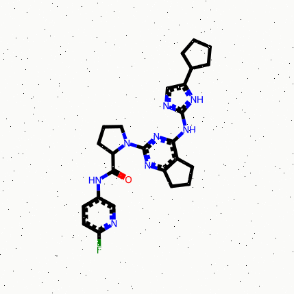 O=C(Nc1ccc(F)nc1)C1CCCN1c1nc2c(c(Nc3ncc(C4CCCC4)[nH]3)n1)CCC2